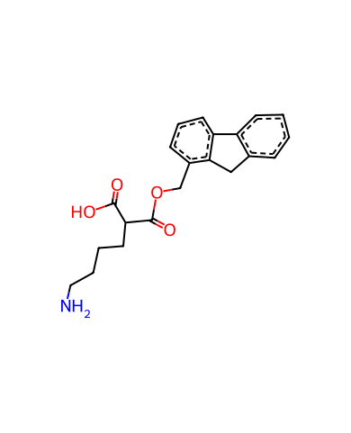 NCCCCC(C(=O)O)C(=O)OCc1cccc2c1Cc1ccccc1-2